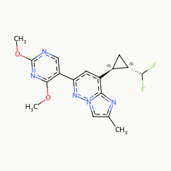 COc1ncc(-c2cc([C@H]3C[C@@H]3C(F)F)c3nc(C)cn3n2)c(OC)n1